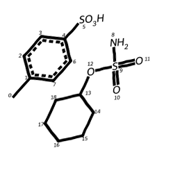 Cc1ccc(S(=O)(=O)O)cc1.NS(=O)(=O)OC1CCCCC1